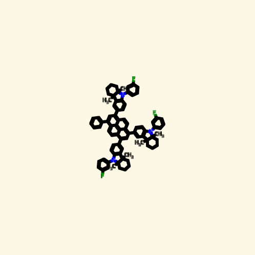 CC12CCCCC1(C)N(c1cccc(F)c1)c1ccc(-c3cc(-c4ccccc4)c4ccc5c(-c6ccc7c(c6)C6(C)CCCCC6(C)N7c6cccc(F)c6)cc(-c6ccc7c(c6)C6(C)CCCCC6(C)N7c6cccc(F)c6)c6ccc3c4c56)cc12